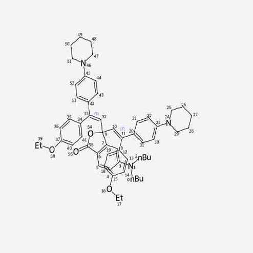 CCCCN(CCCC)c1ccc2c(c1)C(/C=C(\c1ccc(OCC)cc1)c1ccc(N3CCCCC3)cc1)(/C=C(\c1ccc(OCC)cc1)c1ccc(N3CCCCC3)cc1)OC2=O